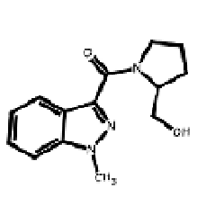 Cn1nc(C(=O)N2CCC[C@H]2CO)c2ccccc21